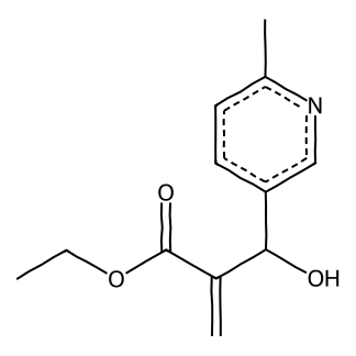 C=C(C(=O)OCC)C(O)c1ccc(C)nc1